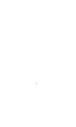 COC1=N[C@@H](C(=O)OCc2ccc([N+](=O)[O-])cc2)N2C(=O)[C@H](NC(=O)Cc3cccs3)[C@@H]2SC1